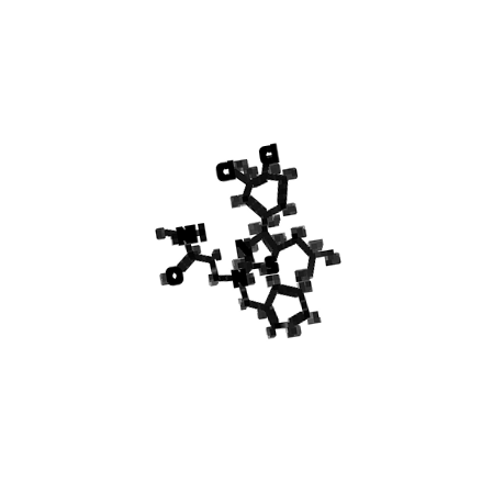 CNC(=O)CCN(Cc1ccccc1)c1nc(-c2ccc(Cl)c(Cl)c2)c(CC(C)C)s1